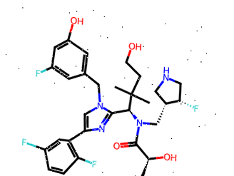 C[C@H](O)C(=O)N(C[C@@H]1CNC[C@@H]1F)[C@@H](c1nc(-c2cc(F)ccc2F)cn1Cc1cc(O)cc(F)c1)C(C)(C)CCO